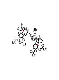 CCC(=O)Oc1ccc(C[N+]2(C)[C@@H]3CC[C@H]2CC(OC(=O)CCC(=O)OC2C[C@H]4CC[C@@H](C2)[N+]4(C)Cc2ccc(OC(=O)CC)c(OC(=O)CC)c2)C3)cc1OC(=O)CC.[Br-].[Br-]